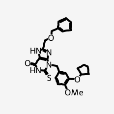 COc1ccc(Cn2c(=S)[nH]c(=O)c3[nH]c(COCc4ccccc4)nc32)cc1OC1CCCC1